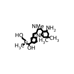 CNC(Cc1cc2cc(C(O)N(C)CCO)ccc2[nH]1)C1=C(N)CC(C)(C)CC1